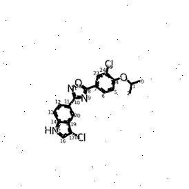 CC(C)Oc1ccc(-c2nc(-c3ccc4[nH]cc(Cl)c4c3)no2)cc1Cl